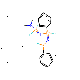 CN(C)P(F)(F)=NP(F)(=NP(F)c1ccccc1)c1ccccc1